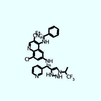 CC[C@@H](Nc1c(C#N)cnc2c(Cl)cc(N[C@H](C3=CN(C(C)C(F)(F)F)NN3)c3cccnc3)cc12)c1ccccc1